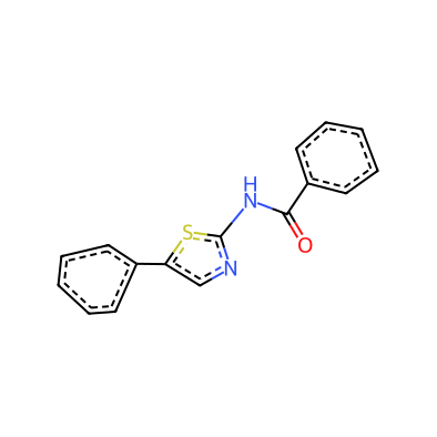 O=C(Nc1ncc(-c2ccccc2)s1)c1ccccc1